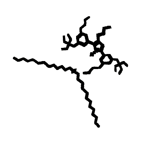 CCCCC1=C(c2cc(CCCC)cc(C[Si](CC)(CC)CC)c2)[N+](=[N-])C(c2cc(CCCC)cc(C[Si](CC)(CC)CC)c2)=C1.CCCCCCCCCCCC[CH2][Ni][CH2]CCCCCCCCCCCC